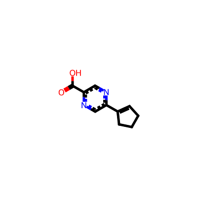 O=C(O)c1cnc(C2=CCCC2)cn1